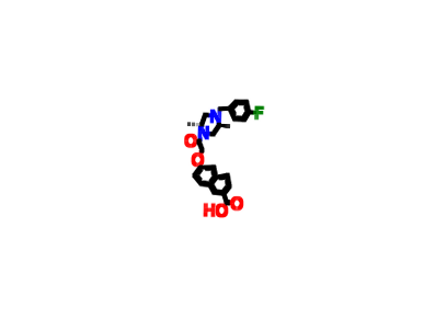 C[C@@H]1CN(Cc2ccc(F)cc2)[C@@H](C)CN1C(=O)COc1ccc2cc(C(=O)O)ccc2c1